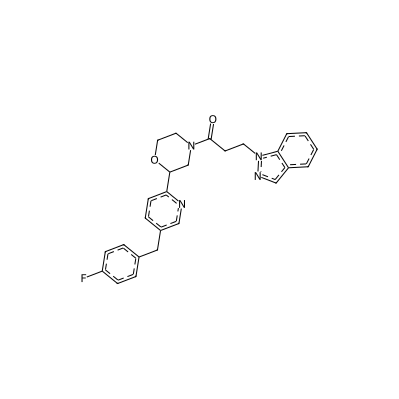 O=C(CCn1ncc2ccccc21)N1CCOC(c2ccc(Cc3ccc(F)cc3)cn2)C1